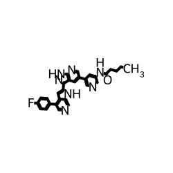 CCCCC(=O)Nc1cncc(-c2cnc3[nH]nc(-c4cc5c(-c6ccc(F)cc6)cncc5[nH]4)c3c2)c1